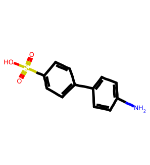 Nc1ccc(-c2ccc(S(=O)(=O)O)cc2)cc1